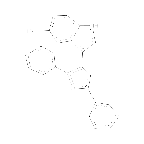 Oc1ccc2[nH]cc(-c3cc(-c4ccccc4)oc3-c3ccccc3)c2c1